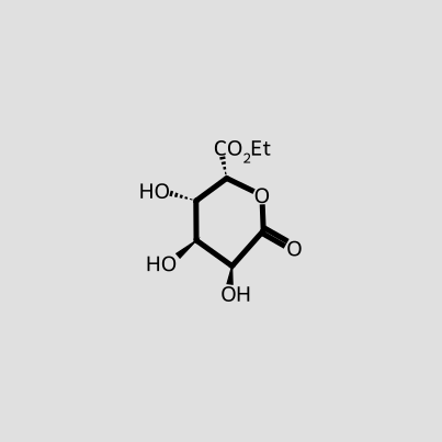 CCOC(=O)[C@@H]1OC(=O)[C@@H](O)[C@@H](O)[C@@H]1O